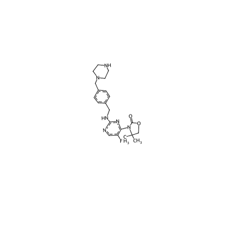 CC1(C)COC(=O)N1c1nc(NCc2ccc(CN3CCNCC3)cc2)ncc1F